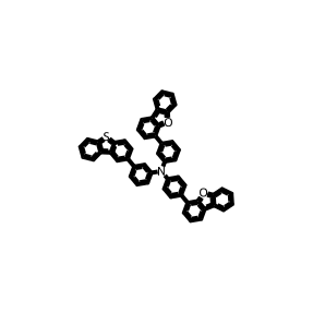 c1cc(-c2ccc3sc4ccccc4c3c2)cc(N(c2ccc(-c3cccc4c3oc3ccccc34)cc2)c2cccc(-c3cccc4c3oc3ccccc34)c2)c1